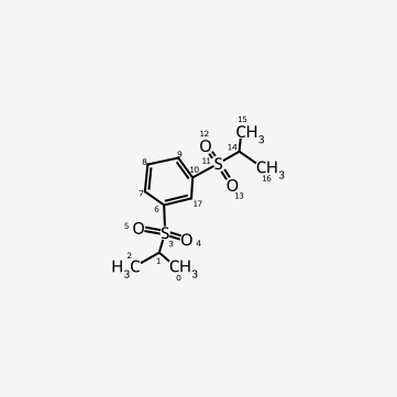 CC(C)S(=O)(=O)c1cccc(S(=O)(=O)C(C)C)c1